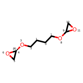 C(CCO[C@H]1CO1)COC1CO1